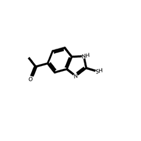 CC(=O)c1ccc2[nH]c(S)nc2c1